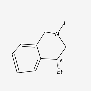 CC[C@H]1CN(I)Cc2ccccc21